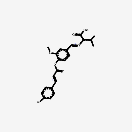 COc1cc(/C=N/C(C(=O)O)C(C)C)ccc1OC(=O)/C=C/c1ccc(Br)cc1